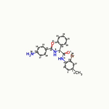 Cc1ccc(NC(=O)C(NC(=O)c2ccc(N)cc2)c2ccccc2)c(Br)c1